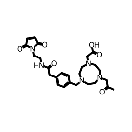 CC(=O)CN1CCN(CC(=O)O)CCN(Cc2ccc(CC(=O)NCCN3C(=O)C=CC3=O)cc2)CC1